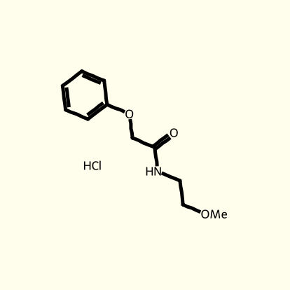 COCCNC(=O)COc1ccccc1.Cl